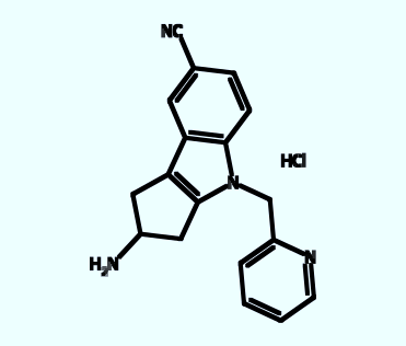 Cl.N#Cc1ccc2c(c1)c1c(n2Cc2ccccn2)CC(N)C1